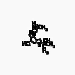 C[C@H](N)Cn1ncc2ccc3sc(C(C)(C)C)cc3c21.Cl